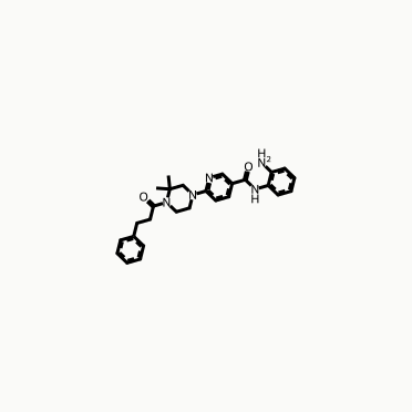 CC1(C)CN(c2ccc(C(=O)Nc3ccccc3N)cn2)CCN1C(=O)CCc1ccccc1